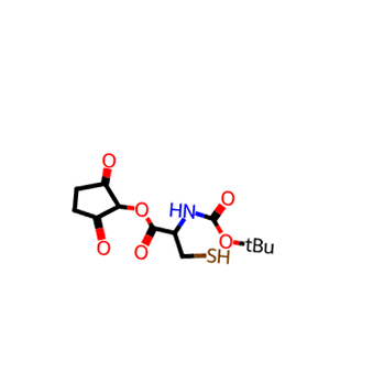 CC(C)(C)OC(=O)NC(CS)C(=O)OC1C(=O)CCC1=O